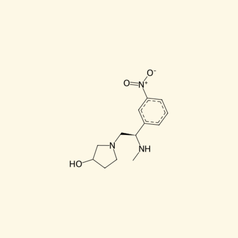 CN[C@@H](CN1CCC(O)C1)c1cccc([N+](=O)[O-])c1